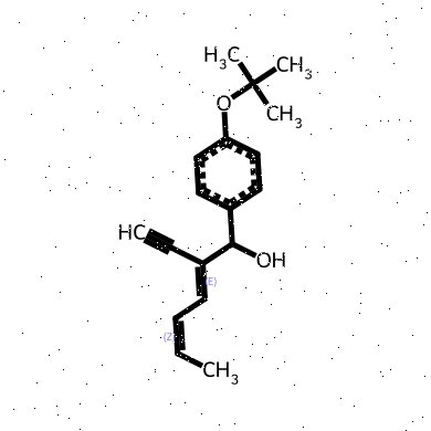 C#C/C(=C\C=C/C)C(O)c1ccc(OC(C)(C)C)cc1